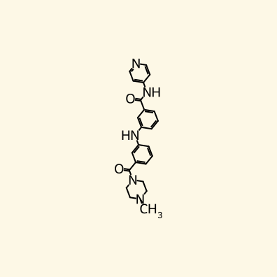 CN1CCN(C(=O)c2cccc(Nc3cccc(C(=O)Nc4ccncc4)c3)c2)CC1